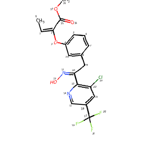 CC=C(Oc1cccc(CC(=NO)c2ncc(C(F)(F)F)cc2Cl)c1)C(=O)OC